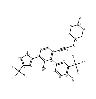 CN1CCN(CC#Cc2ccc(-c3cc(C(F)(F)F)n[nH]3)c(O)c2-c2ccc(Cl)c(C(F)(F)F)c2)CC1